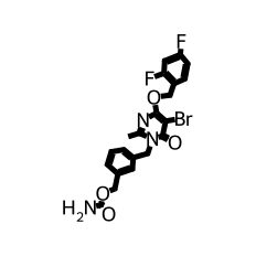 Cc1nc(OCc2ccc(F)cc2F)c(Br)c(=O)n1Cc1cccc(COC(N)=O)c1